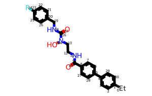 CCc1ccc(-c2ccc(C(=O)NCCN(O)C(=O)NCc3ccc(F)cc3)cc2)cc1